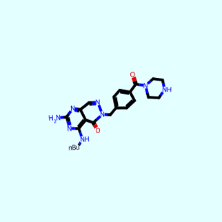 CCCCNc1nc(N)nc2cnn(Cc3ccc(C(=O)N4CCNCC4)cc3)c(=O)c12